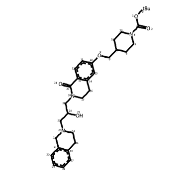 CC(C)(C)OC(=O)N1CCC(COc2ccc3c(c2)CCN(CC(O)CN2CCc4ccccc4C2)C3=O)CC1